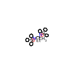 CC/C(C/C(C)=N/O[Si](c1ccccc1)(c1ccccc1)c1ccccc1)=N\O[Si](c1ccccc1)(c1ccccc1)c1ccccc1